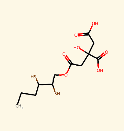 CCCC(S)C(S)COC(=O)CC(O)(CC(=O)O)C(=O)O